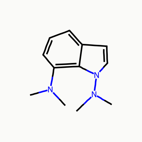 CN(C)c1cccc2ccn(N(C)C)c12